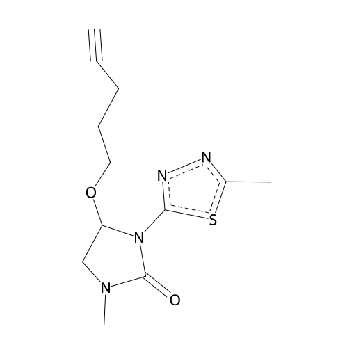 C#CCCCOC1CN(C)C(=O)N1c1nnc(C)s1